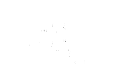 C[C@@H]1[C@@H](NC(=O)OCc2ccccc2)c2ncccc2N[C@H]1C1CCCCC1